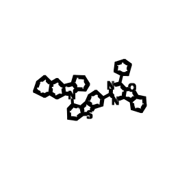 c1ccc(-c2nc(-c3ccc4c(c3)sc3cccc(-n5c6ccccc6c6cc7ccccc7cc65)c34)nc3c2oc2ccccc23)cc1